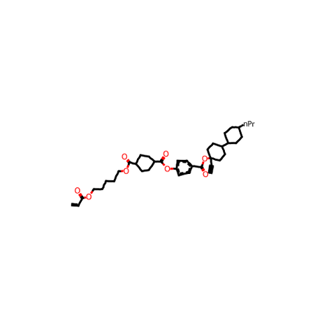 C#CC1(OC(=O)c2ccc(OC(=O)C3CCC(C(=O)OCCCCCOC(=O)C=C)CC3)cc2)CCC(C2CCC(CCC)CC2)CC1